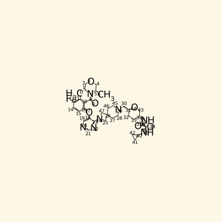 C[C@@H]1COC[C@@H](C)N1C(=O)c1cc(F)ccc1Oc1cncnc1N1CC2(CCN(C[C@@H]3CC[C@@H](NS(=O)(=O)NC4CC4)CO3)CC2)C1